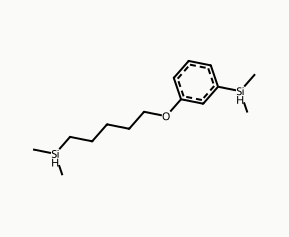 C[SiH](C)CCCCCOc1cccc([SiH](C)C)c1